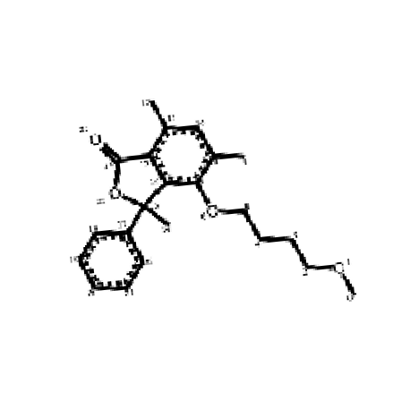 COCCCCOc1c(C)cc(C)c2c1C(C)(c1ccccc1)OC2=O